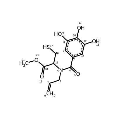 C=CCN(C(=O)c1cc(O)c(O)c(O)c1)C(CS)C(=O)OC